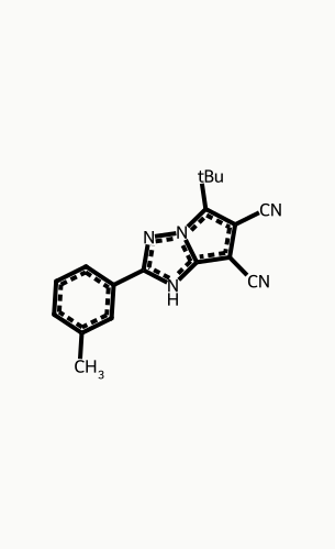 Cc1cccc(-c2nn3c(C(C)(C)C)c(C#N)c(C#N)c3[nH]2)c1